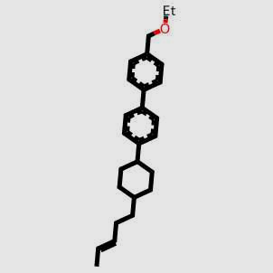 C/C=C/CCC1CCC(c2ccc(-c3ccc(COCC)cc3)cc2)CC1